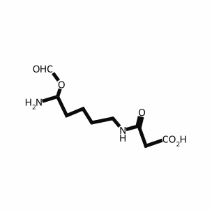 NC(CCCCNC(=O)CC(=O)O)OC=O